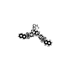 CCOC(=O)c1cnc(N2CCN(S(=O)(=O)c3ccc4ccccc4c3)CC2)nc1N1CCN(S(=O)(=O)c2ccc3ccccc3c2)CC1